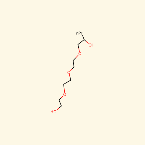 CCCC(O)COCCOCCOCCO